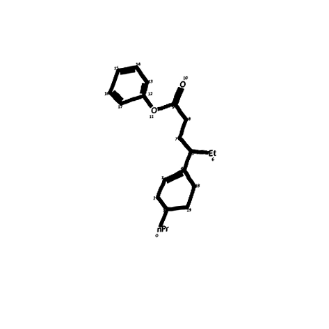 CCCC1CC=C(C(CC)CCC(=O)Oc2ccccc2)CC1